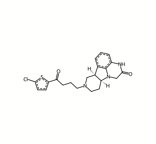 O=C1CN2c3c(cccc3[C@@H]3CN(CCCC(=O)c4ccc(Cl)s4)CC[C@@H]32)N1